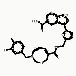 NC(=O)c1cnc2[nH]cc(-c3ccc(CNC(=O)/C4=C/C=C\N(Cc5ccc(F)c(F)c5)COC4)s3)c2c1